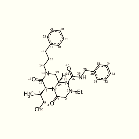 CCN1CC(=O)N2[C@@H](C(C)CCl)C(=O)N(CCCc3ccccc3)C[C@@H]2N1C(=O)NCc1ccccc1